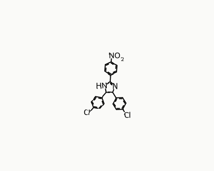 O=[N+]([O-])c1ccc(C2=NC(c3ccc(Cl)cc3)C(c3ccc(Cl)cc3)N2)cc1